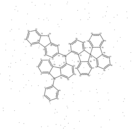 c1ccc(-n2c3ccccc3c3c(N(c4ccc5c(c4)sc4ccccc45)c4cccc5c4-c4ccccc4C54c5ccccc5-c5ccccc54)cccc32)cc1